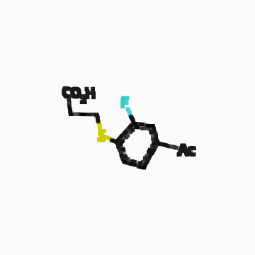 CC(=O)c1ccc(SCCC(=O)O)c(F)c1